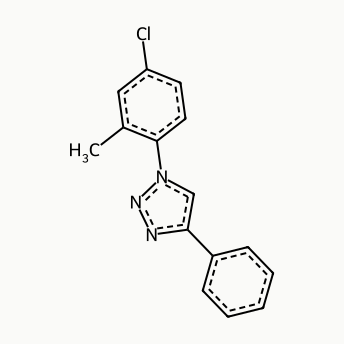 Cc1cc(Cl)ccc1-n1cc(-c2ccccc2)nn1